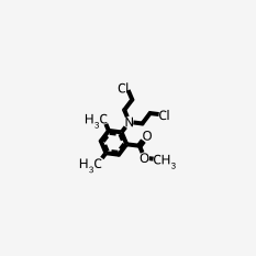 COC(=O)c1cc(C)cc(C)c1N(CCCl)CCCl